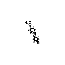 CCCc1ccc(OCc2ccc(Br)cc2)c(F)c1